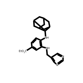 CCOC(=O)c1ccc(NC2C3CC4CC(C3)CC2C4)c(NCc2cncnc2)c1